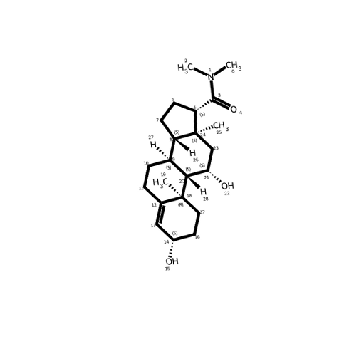 CN(C)C(=O)[C@H]1CC[C@H]2[C@@H]3CCC4=C[C@@H](O)CC[C@]4(C)[C@H]3[C@@H](O)C[C@]12C